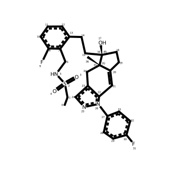 CCS(=O)(=O)NCc1c(F)cccc1CC[C@]1(O)CCC2=Cc3c(cnn3-c3ccc(F)cc3)C[C@@]21C